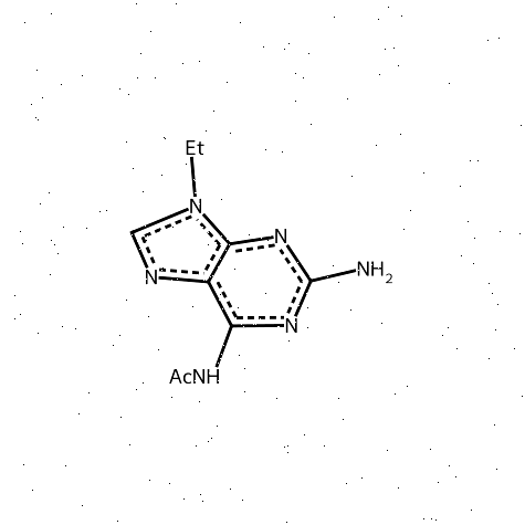 CCn1cnc2c(NC(C)=O)nc(N)nc21